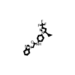 O=C(Cn1cnc2ccccc21)Nc1ccc(-n2nc(C(F)(F)F)cc2C2CC2)cc1